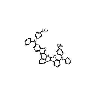 CC(C)(C)c1ccc(N(c2ccccc2)c2ccc3c(c2)sc2c3c3cccc4c5c6cccc(N(c7ccccc7)c7ccc(C(C)(C)C)cc7)c6oc5n2c43)cc1